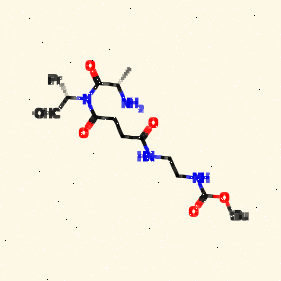 CC(C)[C@@H]([C]=O)N(C(=O)CCC(=O)NCCNC(=O)OC(C)(C)C)C(=O)[C@H](C)N